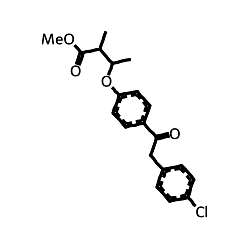 COC(=O)C(C)C(C)Oc1ccc(C(=O)Cc2ccc(Cl)cc2)cc1